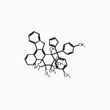 Cc1ccc(C(C2=CC=CC2)(c2ccc(C)cc2)C2(C)C3=C4Cc5ccccc5C4=C4C=CCCC4C3(C)C(C)(C)C(C)(C)C2(C)C)cc1